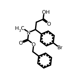 CN(C(=O)OCc1ccccc1)C(CC(=O)O)c1ccc(Br)cc1